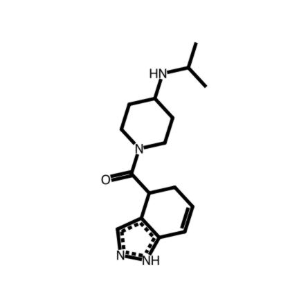 CC(C)NC1CCN(C(=O)C2CC=Cc3[nH]ncc32)CC1